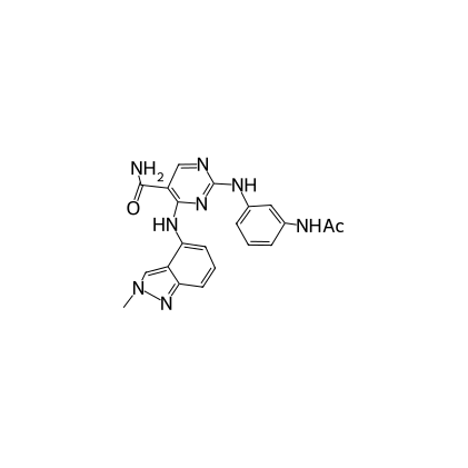 CC(=O)Nc1cccc(Nc2ncc(C(N)=O)c(Nc3cccc4nn(C)cc34)n2)c1